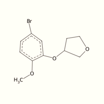 COc1ccc(Br)cc1OC1CCOC1